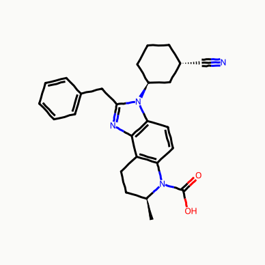 C[C@H]1CCc2c(ccc3c2nc(Cc2ccccc2)n3[C@H]2CCC[C@H](C#N)C2)N1C(=O)O